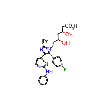 CC(C)c1nc(-c2ccnc(Nc3ccccc3)n2)c(-c2ccc(F)cc2)n1CCC(O)CC(O)CC(=O)O